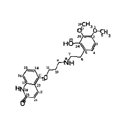 COc1ccc(CCNCCCOc2cccc3[nH]c(=O)ccc23)c(O)c1OC